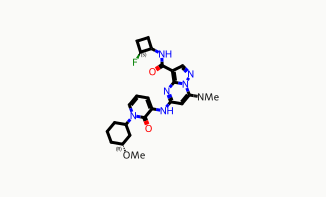 CNc1cc(Nc2cccn(C3CCC[C@@H](OC)C3)c2=O)nc2c(C(=O)NC3CC[C@@H]3F)cnn12